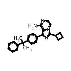 CC(C)(c1ccccc1)c1ccc(-c2nc(C3CCC3)n3ccnc(N)c23)cc1